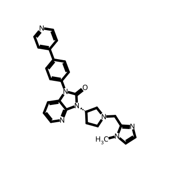 Cn1ccnc1CN1CC[C@H](n2c(=O)n(-c3ccc(-c4ccncc4)cc3)c3cccnc32)C1